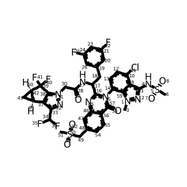 Cn1nc(NS(C)(=O)=O)c2c(Cl)ccc(-n3c(C(Cc4cc(F)cc(F)c4)NC(=O)Cn4nc(C(F)F)c5c4C(F)(F)[C@@H]4C[C@H]54)nc4cc(CS(C)(=O)=O)ccc4c3=O)c21